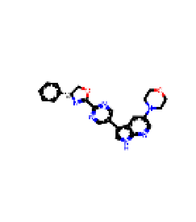 c1ccc([C@@H]2COC(c3ncc(-c4c[nH]c5ncc(N6CCOCC6)cc45)cn3)=N2)cc1